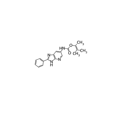 CC(C)=C(C)OC(=O)Nc1cnc2[nH]c(-c3ccccc3)nc2c1